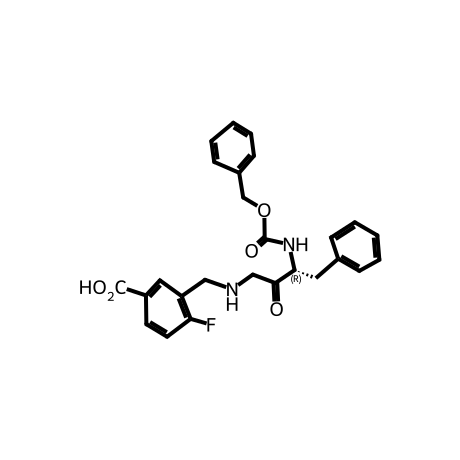 O=C(N[C@H](Cc1ccccc1)C(=O)CNCc1cc(C(=O)O)ccc1F)OCc1ccccc1